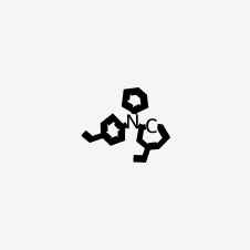 C=CC1=CC=CCC(N(c2ccccc2)c2ccc(C=C)cc2)C1